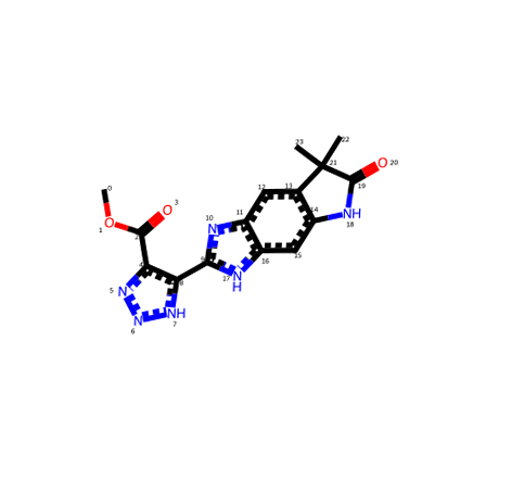 COC(=O)c1nn[nH]c1-c1nc2cc3c(cc2[nH]1)NC(=O)C3(C)C